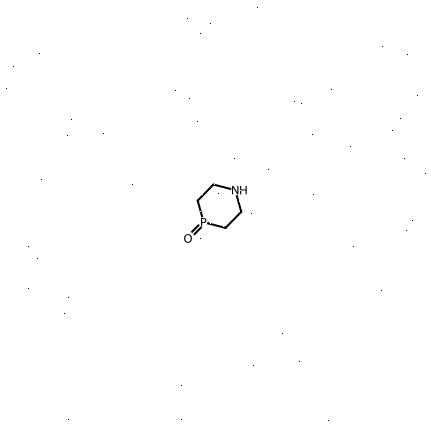 O=[P]1CCNCC1